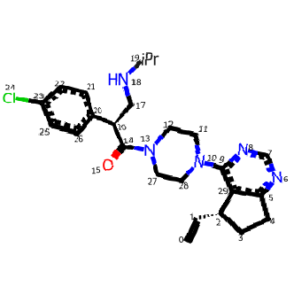 C=C[C@H]1CCc2ncnc(N3CCN(C(=O)[C@H](CNC(C)C)c4ccc(Cl)cc4)CC3)c21